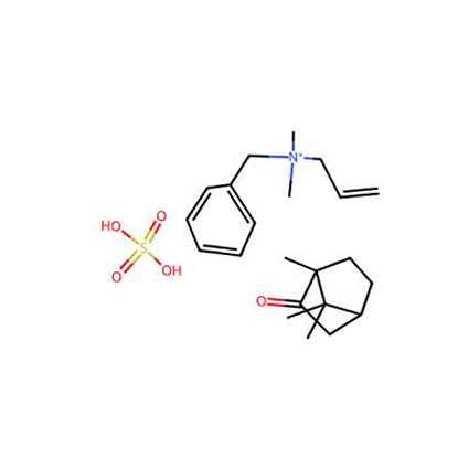 C=CC[N+](C)(C)Cc1ccccc1.CC12CCC(CC1=O)C2(C)C.O=S(=O)(O)O